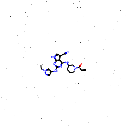 C=CC(=O)N1CCCC(Nc2nc(Nc3cnn(CC)c3)nc3[nH]cc(C#N)c23)C1